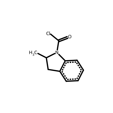 CC1Cc2ccccc2N1C(=O)Cl